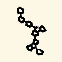 c1ccc(-c2cccc(-c3ccc(Nc4ccc(-c5ccc6c(c5)c5ccccc5n6-c5ccccc5)cc4-c4ccccc4)cc3)c2)cc1